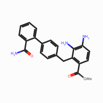 COC(=O)c1ccc(N)c(N)c1Cc1ccc(-c2ccccc2C(N)=O)cc1